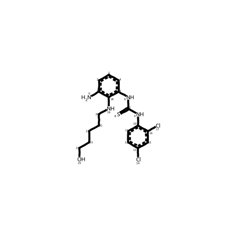 Nc1cccc(NC(=S)Nc2ccc(Cl)cc2Cl)c1NCCCCCO